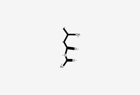 CC(=O)C(=O)OC(=O)CC(C)O